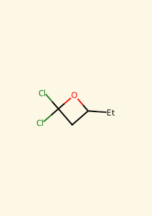 CCC1CC(Cl)(Cl)O1